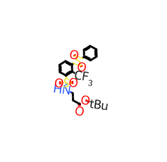 CC(C)(C)OC(=O)CCNS(=O)(=O)c1cccc(S(=O)(=O)c2ccccc2)c1C(F)(F)F